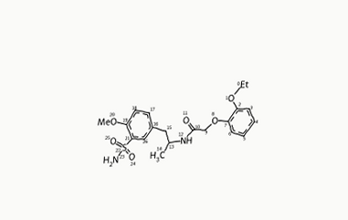 CCOc1ccccc1OCC(=O)NC(C)Cc1ccc(OC)c(S(N)(=O)=O)c1